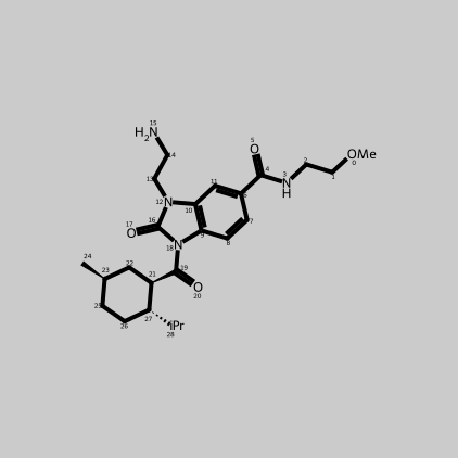 COCCNC(=O)c1ccc2c(c1)n(CCN)c(=O)n2C(=O)[C@@H]1C[C@H](C)CC[C@H]1C(C)C